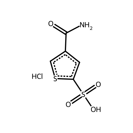 Cl.NC(=O)c1csc(S(=O)(=O)O)c1